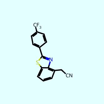 N#CCc1cccc2sc(-c3ccc(C(F)(F)F)cc3)nc12